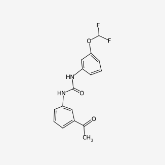 CC(=O)c1cccc(NC(=O)Nc2cccc(OC(F)F)c2)c1